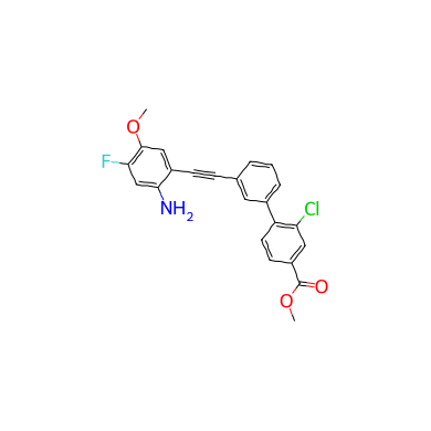 COC(=O)c1ccc(-c2cccc(C#Cc3cc(OC)c(F)cc3N)c2)c(Cl)c1